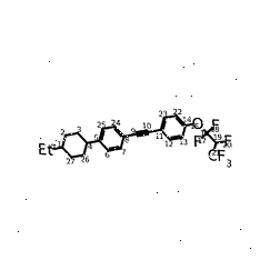 CCC1CCC(c2ccc(C#Cc3ccc(OC(F)(F)C(F)C(F)(F)F)cc3)cc2)CC1